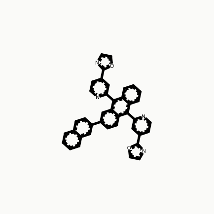 c1ccc2cc(-c3ccc4c(-c5cc(-c6ncco6)ccn5)c5ccccc5c(-c5cc(-c6ncco6)ccn5)c4c3)ccc2c1